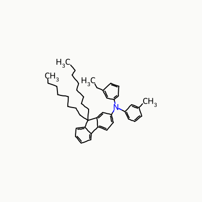 CCCCCCCCC1(CCCCCCCC)c2ccccc2-c2ccc(N(c3cccc(C)c3)c3cccc(CC)c3)cc21